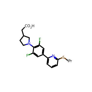 CC(C)Sc1cccc(-c2cc(F)c(N3CCC(CC(=O)O)C3)c(F)c2)n1